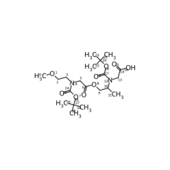 COCCN(CC(=O)OCC(C)N(CC(=O)O)C(=O)OC(C)(C)C)C(=O)OC(C)(C)C